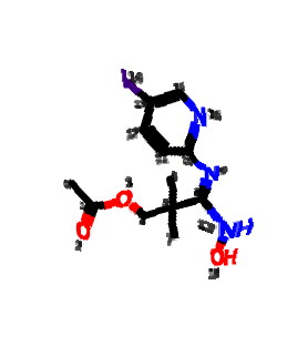 CC(=O)OCC(C)(C)/C(=N\c1ccc(I)cn1)NO